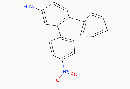 Nc1ccc(-c2ccccc2)c(-c2ccc([N+](=O)[O-])cc2)c1